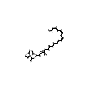 CC/C=C\C/C=C\C/C=C\CCCCCCCC(=O)OCCOC(C)[N+](CC)(CC)CC